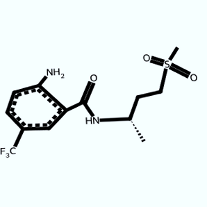 C[C@@H](CCS(C)(=O)=O)NC(=O)c1cc(C(F)(F)F)ccc1N